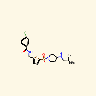 CCCCC(CC)CNC1CCN(S(=O)(=O)c2ccc(CNC(=O)c3ccc(Cl)cc3)s2)CC1